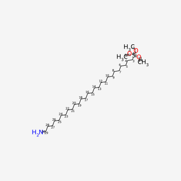 CO[Si](CCCCCCCCCCCCCCCCCCCCCCCCCCCN)(OC)OC